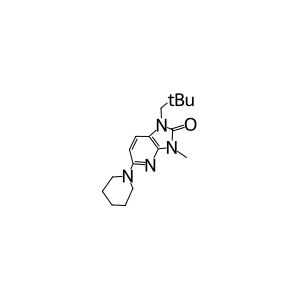 Cn1c(=O)n(CC(C)(C)C)c2ccc(N3CCCCC3)nc21